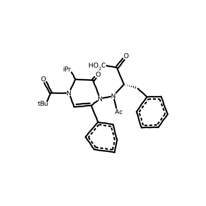 CC(=O)N([C@@H](Cc1ccccc1)C(=O)C(=O)O)N1C(=O)C(C(C)C)N(C(=O)C(C)(C)C)C=C1c1ccccc1